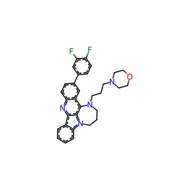 Fc1ccc(-c2ccc3nc4c5ccccc5n5c4c(c3c2)N(CCCN2CCOCC2)CCC5)cc1F